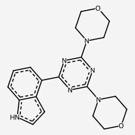 c1cc(-c2nc(N3CCOCC3)nc(N3CCOCC3)n2)c2cc[nH]c2c1